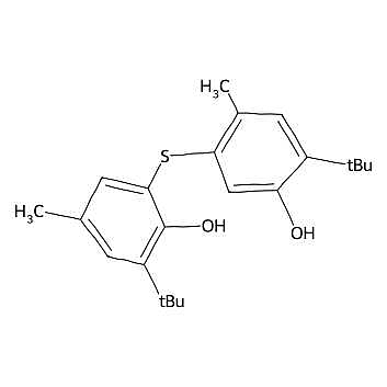 Cc1cc(Sc2cc(O)c(C(C)(C)C)cc2C)c(O)c(C(C)(C)C)c1